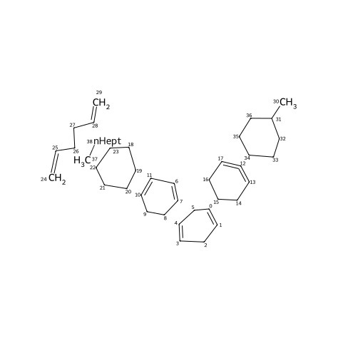 C1=CCC=CC1.C1=CCCC=C1.C1=CCCCC=1.C1CCCCC1.C=CCCC=C.CC1CCCCC1.CCCCCCCC